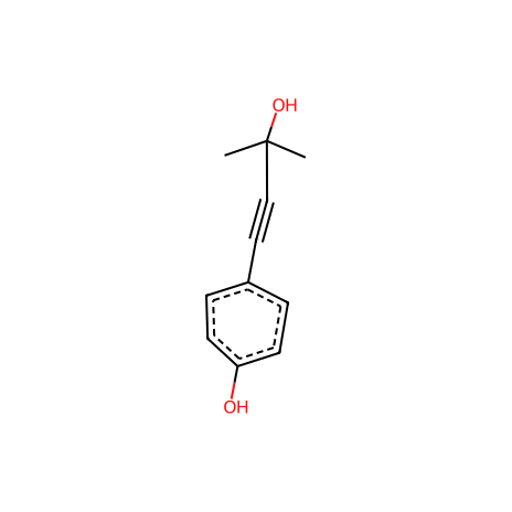 CC(C)(O)C#Cc1ccc(O)cc1